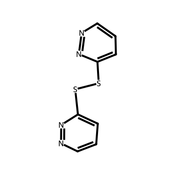 c1cnnc(SSc2cccnn2)c1